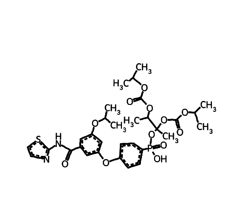 CC(C)OC(=O)OC(C)C(C)(OC(=O)OC(C)C)OP(=O)(O)c1ccc(Oc2cc(OC(C)C)cc(C(=O)Nc3nccs3)c2)cc1